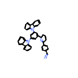 N#Cc1ccc(-c2cccc(-c3cc(-n4c5ccccc5c5ccccc54)cc(-n4c5ccccc5c5ccccc54)c3)n2)cc1